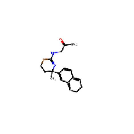 CNC(=O)CNC1=NC(C)(c2ccc3c(c2)=CCCC=3)CCS1